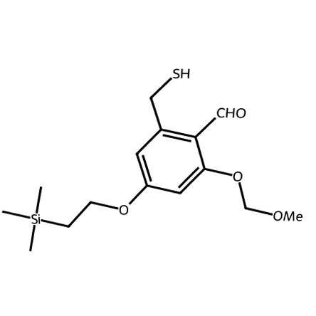 COCOc1cc(OCC[Si](C)(C)C)cc(CS)c1C=O